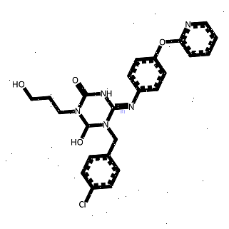 O=C1N/C(=N\c2ccc(Oc3ccccn3)cc2)N(Cc2ccc(Cl)cc2)C(O)N1CCCO